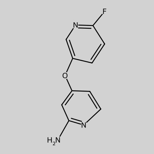 Nc1cc(Oc2ccc(F)nc2)ccn1